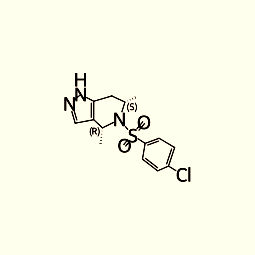 C[C@@H]1c2cn[nH]c2C[C@H](C)N1S(=O)(=O)c1ccc(Cl)cc1